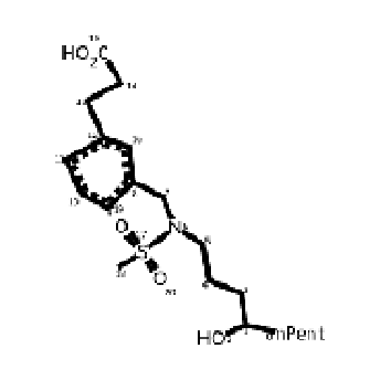 CCCCCC(O)CCCN(Cc1cccc(CCC(=O)O)c1)S(C)(=O)=O